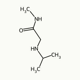 CNC(=O)CNC(C)C